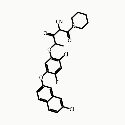 CC(Oc1cc(Oc2ccc3ccc(Cl)cc3c2)c(F)cc1Cl)C(=O)C(C#N)C(=O)N1CCCCC1